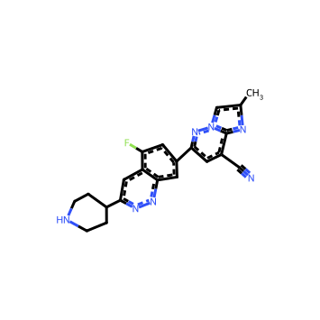 Cc1cn2nc(-c3cc(F)c4cc(C5CCNCC5)nnc4c3)cc(C#N)c2n1